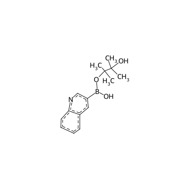 CC(C)(O)C(C)(C)OB(O)c1cnc2ccccc2c1